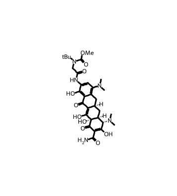 [CH2]OC(=O)N(CC(=O)Nc1cc(N(C)C)c2c(c1O)C(=O)C1=C(O)[C@]3(O)C(=O)C(C(N)=O)=C(O)[C@@H](N(C)C)[C@@H]3C[C@@H]1C2)C(C)(C)C